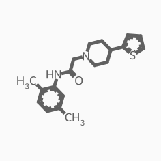 Cc1ccc(C)c(NC(=O)CN2CCC(c3cccs3)CC2)c1